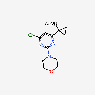 CC(=O)NC1(c2cc(Cl)nc(N3CCOCC3)n2)CC1